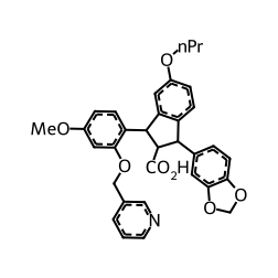 CCCOc1ccc2c(c1)C(c1ccc(OC)cc1OCc1cccnc1)C(C(=O)O)C2c1ccc2c(c1)OCO2